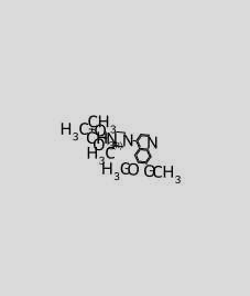 COc1cc2nccc(N3CCN(C(=O)OC(C)(C)C)[C@H](C)C3)c2cc1OC